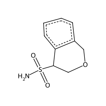 NS(=O)(=O)C1COCc2ccccc21